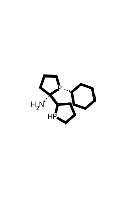 N[C@]1(C2CCCP2)CCC[P@]1C1CCCCC1